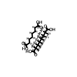 O=C(O)C(F)(F)C(F)(F)C(F)(F)C(F)(F)C(F)(F)C(F)(F)C(=O)O.O=C(O)CCCCCCC(=O)O